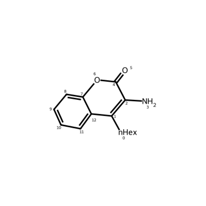 CCCCCCc1c(N)c(=O)oc2ccccc12